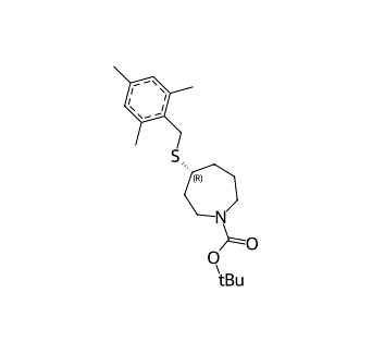 Cc1cc(C)c(CS[C@@H]2CCCN(C(=O)OC(C)(C)C)CC2)c(C)c1